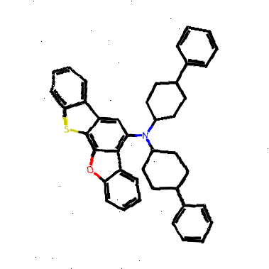 c1ccc(C2CCC(N(c3cc4c5ccccc5sc4c4oc5ccccc5c34)C3CCC(c4ccccc4)CC3)CC2)cc1